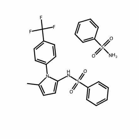 Cc1ccc(NS(=O)(=O)c2ccccc2)n1-c1ccc(C(F)(F)F)cc1.NS(=O)(=O)c1ccccc1